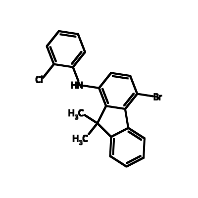 CC1(C)c2ccccc2-c2c(Br)ccc(Nc3ccccc3Cl)c21